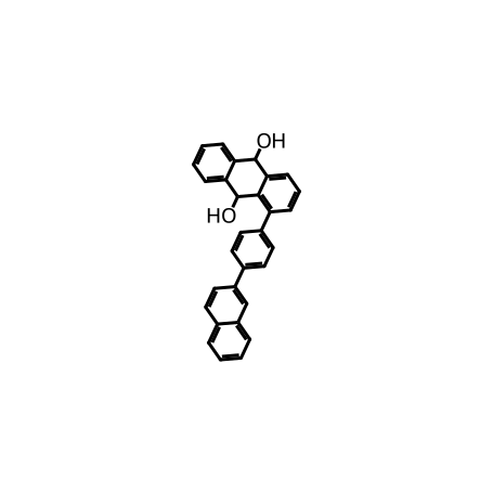 OC1c2ccccc2C(O)c2c(-c3ccc(-c4ccc5ccccc5c4)cc3)cccc21